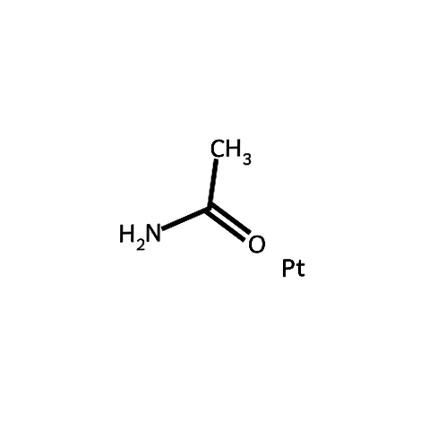 CC(N)=O.[Pt]